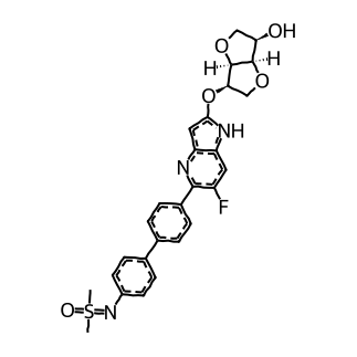 CS(C)(=O)=Nc1ccc(-c2ccc(-c3nc4cc(O[C@@H]5CO[C@H]6[C@@H]5OC[C@H]6O)[nH]c4cc3F)cc2)cc1